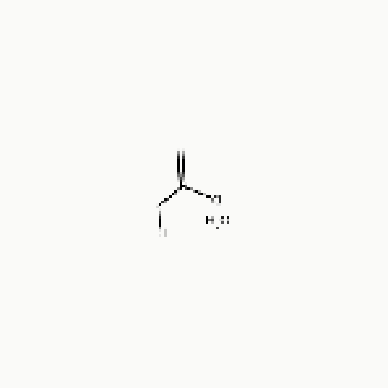 C=C(Cl)CCl.O